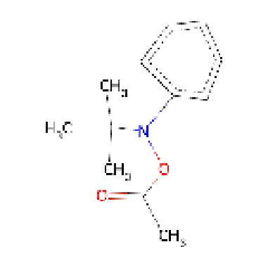 CC(=O)ON(c1ccccc1)C(C)(C)C